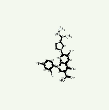 CN[C@@H](C)[C@@H]1CCN(c2nc3c(cc2F)c(=O)c(C(=O)O)cn3-c2ccc(F)cc2F)C1